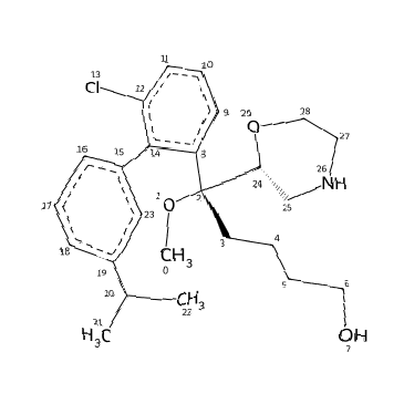 CO[C@](CCCCO)(c1cccc(Cl)c1-c1cccc(C(C)C)c1)[C@H]1CNCCO1